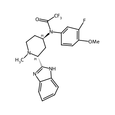 COc1ccc(N(C(=O)C(F)(F)F)[C@@H]2CCN(C)[C@@H](c3nc4ccccc4[nH]3)C2)cc1F